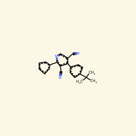 CC(C)(C)c1ccc(-c2c(C#N)cnc(-c3ccccc3)c2C#N)cc1